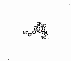 N#Cc1cccc(-c2ccc3c(c2)c2ccccc2n3-c2ccc(C#N)cc2-c2ccc(C(F)(F)F)cc2-n2c3ccccc3c3cc(-c4cccc(C#N)c4)ccc32)c1